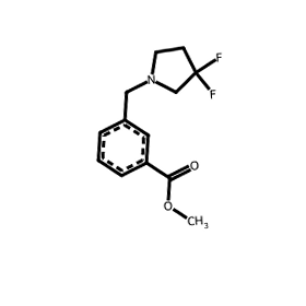 COC(=O)c1cccc(CN2CCC(F)(F)C2)c1